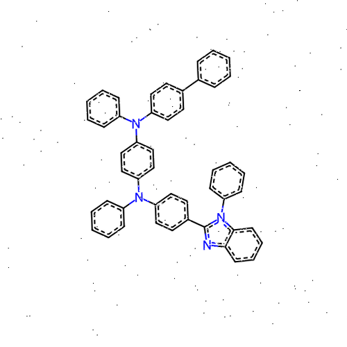 c1ccc(-c2ccc(N(c3ccccc3)c3ccc(N(c4ccccc4)c4ccc(-c5nc6ccccc6n5-c5ccccc5)cc4)cc3)cc2)cc1